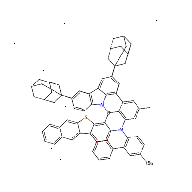 Cc1cc2c3c(c1)N(c1ccc(C(C)(C)C)cc1-c1ccccc1)c1ccc4c(sc5cc6ccccc6cc54)c1B3n1c3ccc(C45CC6CC(CC(C6)C4)C5)cc3c3cc(C45CC6CC(CC(C6)C4)C5)cc-2c31